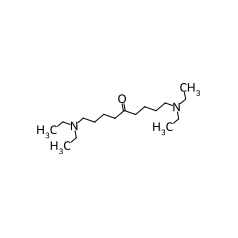 CCN(CC)CCCCC(=O)CCCCN(CC)CC